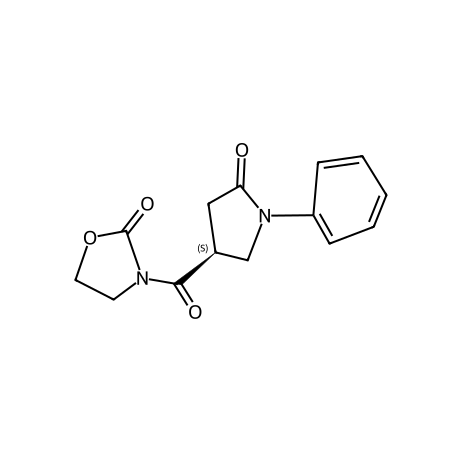 O=C1OCCN1C(=O)[C@H]1CC(=O)N(c2ccccc2)C1